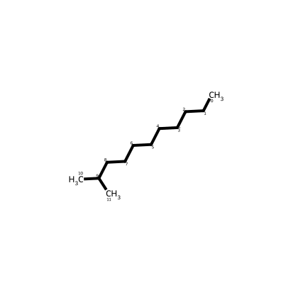 CCC[CH]CCCCCC(C)C